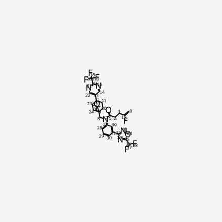 C=C(F)CCC(=O)N(CC12CCC(c3cnc(C(F)(F)F)nc3)(CC1)OC2)c1cccc(-c2noc(C(F)F)n2)c1